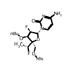 CCCCOC[C@@]1([C@@H](C)F)O[C@@H](n2ccc(N)nc2=O)[C@H](F)[C@@H]1OCCCC